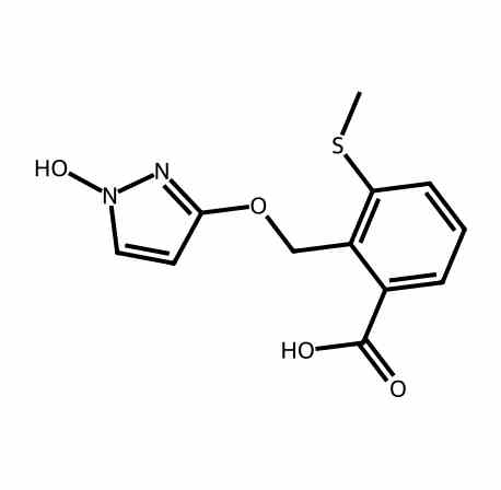 CSc1cccc(C(=O)O)c1COc1ccn(O)n1